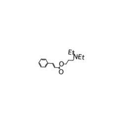 CCN(CC)CCCOC(=O)C=Cc1ccccc1